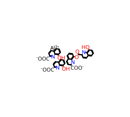 O=C([O-])c1ccc2cccc(O)c2n1.O=C([O-])c1ccc2cccc(O)c2n1.O=C([O-])c1ccc2cccc(OC(=O)c3ccc4cccc(O)c4n3)c2n1.[Al+3]